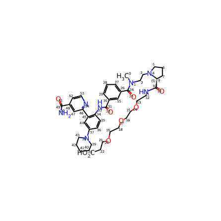 CN(CCN1CCC[C@H]1C(=O)NCCOCCOCCOCCC(=O)O)C(=O)c1cccc(C(=O)Nc2ccc(N3CCCCC3)cc2-c2cc(C(N)=O)ccn2)c1